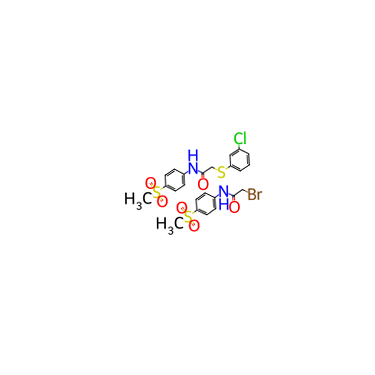 CS(=O)(=O)c1ccc(NC(=O)CBr)cc1.CS(=O)(=O)c1ccc(NC(=O)CSc2cccc(Cl)c2)cc1